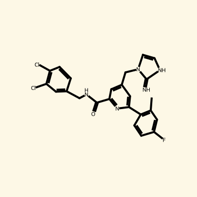 Cc1cc(F)ccc1-c1cc(Cn2cc[nH]c2=N)cc(C(=O)NCc2ccc(Cl)c(Cl)c2)n1